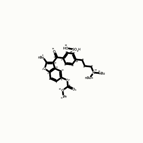 CCCCc1oc2ccc(OC(=O)OC(C)C)cc2c1C(=O)c1ccc(CCCN(CCCC)CCCC)cc1.O=S(=O)(O)O